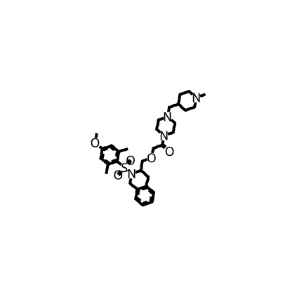 COc1cc(C)c(S(=O)(=O)N2Cc3ccccc3CC2COCC(=O)N2CCN(CC3CCN(C)CC3)CC2)c(C)c1